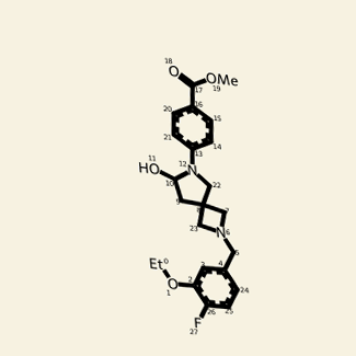 CCOc1cc(CN2CC3(CC(O)N(c4ccc(C(=O)OC)cc4)C3)C2)ccc1F